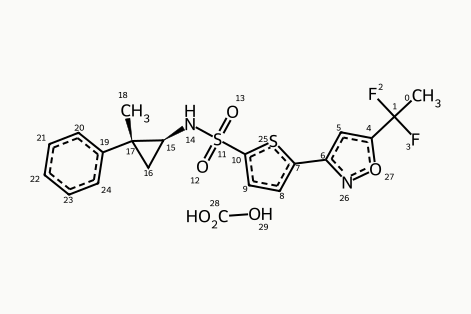 CC(F)(F)c1cc(-c2ccc(S(=O)(=O)N[C@H]3C[C@]3(C)c3ccccc3)s2)no1.O=C(O)O